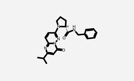 CC(C)c1cc(=O)n2nc(N3CCC[C@@H]3C(=O)NCc3ccccc3)ccc2n1